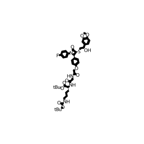 CC(C)(C)OC(=O)NCCCC[C@@H](NC(=O)CNC(=O)COc1ccc([C@@H]2[C@@H](SCC(O)c3ccc4c(c3)OCO4)C(=O)N2c2ccc(F)cc2)cc1)C(=O)OC(C)(C)C